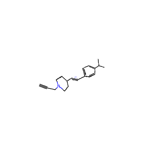 C#CCN1CCC(/C=C/c2ccc(C(C)C)cc2)CC1